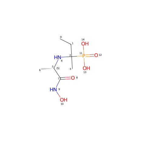 CCC(C)(N[C@@H](C)C(=O)NO)P(=O)(O)O